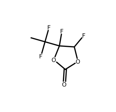 CC(F)(F)C1(F)OC(=O)OC1F